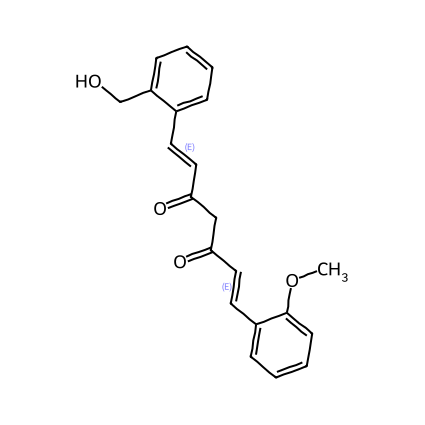 COc1ccccc1/C=C/C(=O)CC(=O)/C=C/c1ccccc1CO